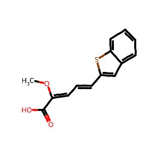 CO/C(=C\C=C\c1cc2ccccc2s1)C(=O)O